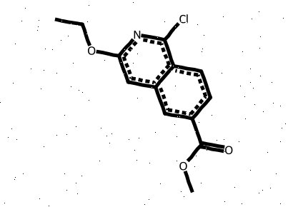 CCOc1cc2cc(C(=O)OC)ccc2c(Cl)n1